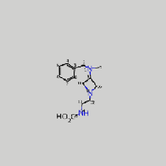 CN(Cc1ccccc1)C1CN(CCNC(=O)O)C1